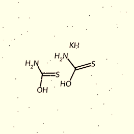 NC(O)=S.NC(O)=S.[KH]